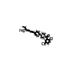 CCC(O)C#CC#Cc1ccc(N2CCN(C(=O)c3cc(Cl)ccc3Cl)CC2)nc1